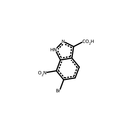 O=C(O)c1n[nH]c2c([N+](=O)[O-])c(Br)ccc12